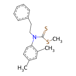 CSC(=S)N(CCc1ccccc1)c1ccc(C)cc1C